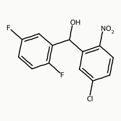 O=[N+]([O-])c1ccc(Cl)cc1C(O)c1cc(F)ccc1F